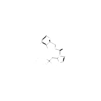 CC(C)(N)CC1SC=CN1C(=O)NCc1ncccc1F.Cl.Cl